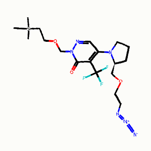 C[Si](C)(C)CCOCn1ncc(N2CCC[C@H]2COCCN=[N+]=[N-])c(C(F)(F)F)c1=O